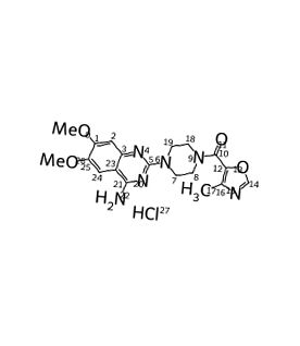 COc1cc2nc(N3CCN(C(=O)c4ocnc4C)CC3)nc(N)c2cc1OC.Cl